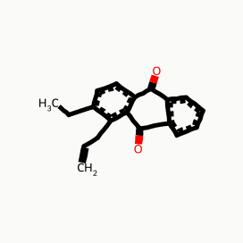 C=CCc1c(CC)ccc2c1C(=O)c1ccccc1C2=O